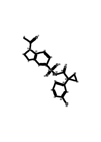 CC(=O)N1CCc2cc(S(=O)(=O)NC(=O)C3(c4cccc(Cl)c4)CC3)ccc21